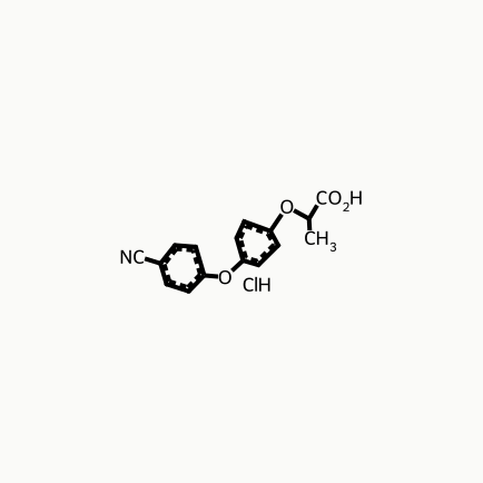 CC(Oc1ccc(Oc2ccc(C#N)cc2)cc1)C(=O)O.Cl